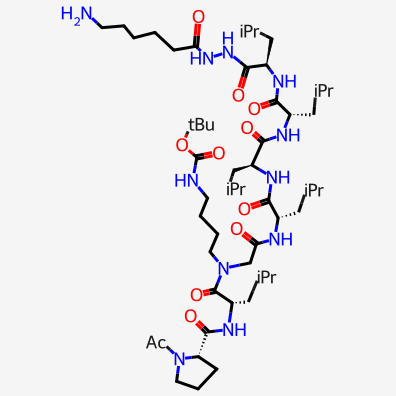 CC(=O)N1CCC[C@H]1C(=O)N[C@@H](CC(C)C)C(=O)N(CCCCNC(=O)OC(C)(C)C)CC(=O)N[C@@H](CC(C)C)C(=O)N[C@@H](CC(C)C)C(=O)N[C@@H](CC(C)C)C(=O)N[C@H](CC(C)C)C(=O)NNC(=O)CCCCCN